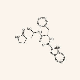 N#C[C@H](C[C@@H]1CCNC1=O)NC(=O)[C@H](Cc1ccccc1)NC(=O)c1cc2ccccc2[nH]1